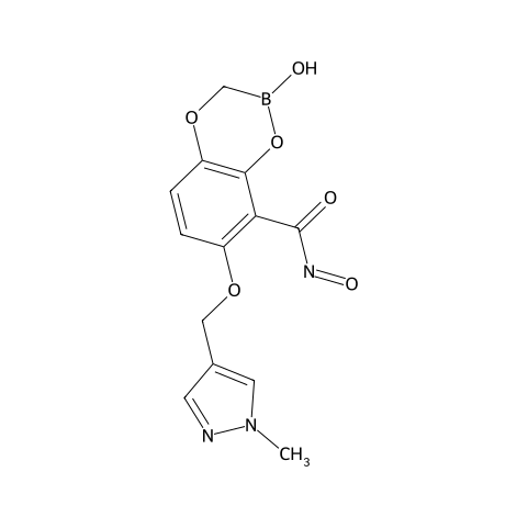 Cn1cc(COc2ccc3c(c2C(=O)N=O)OB(O)CO3)cn1